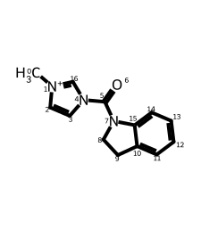 C[n+]1ccn(C(=O)N2CCc3ccccc32)c1